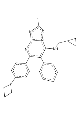 Cc1nc2nc(-c3ccc([C]4CCC4)cc3)c(-c3ccccc3)c(NCC3CC3)n2n1